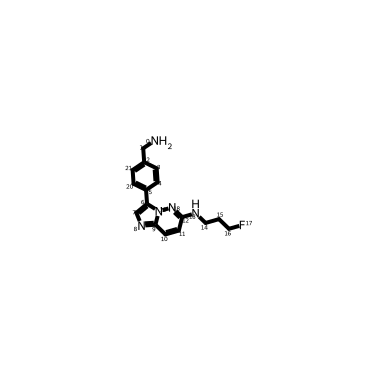 NCc1ccc(-c2cnc3ccc(NCCCF)nn23)cc1